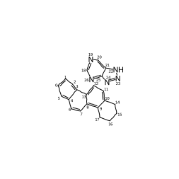 c1ccc2c(c1)ccc1c3c(ccc12)CCCC3.c1ncc2[nH]nnc2n1